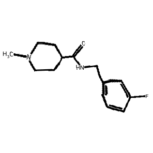 CN1CCC(C(=O)NCc2cccc(F)c2)CC1